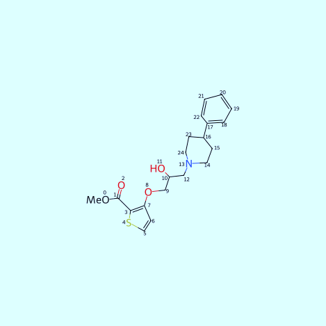 COC(=O)c1sccc1OCC(O)CN1CCC(c2ccccc2)CC1